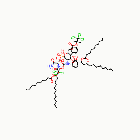 CCCCCCCCCCC[C@H](CC(=O)N[C@@H](CO[C@]1(P(=O)(O)O)O[C@H](COC(=O)OC(C)(C)C(Cl)(Cl)Cl)[C@](Oc2ccccc2)(c2ccccc2)[C@H](OC(=O)C[C@@H](CCCCCCCCCCC)OC(=O)CCCCCCCCC)[C@H]1NC(=O)OCC(Cl)(Cl)Cl)C(N)=O)OC(=O)CCCCCCCCC